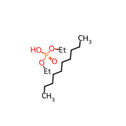 CCCCCCCCCC.CCOP(=O)(O)OCC